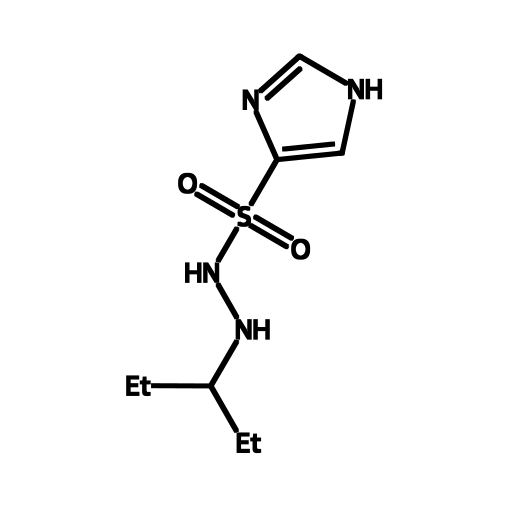 CCC(CC)NNS(=O)(=O)c1c[nH]cn1